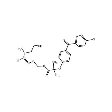 CN(CCO)/[N+]([O-])=N\OCOC(=O)C(C)(C)Oc1ccc(C(=O)c2ccc(Cl)cc2)cc1